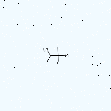 CC(C)C(F)(F)C(C)N